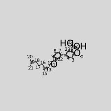 COc1ccc(-c2cccc(OCCC(C)CCCC(C)C)c2)cc1C(O)O